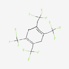 FC(F)(F)C1=C(C(F)(F)F)CC(C(F)(F)F)=C(C(F)(F)F)C1